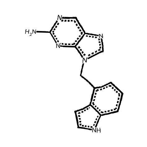 Nc1ncc2ncn(Cc3cccc4[nH]ccc34)c2n1